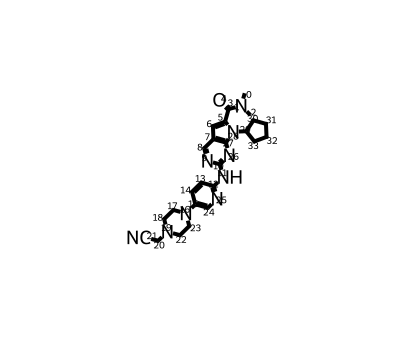 CN(C)C(=O)c1cc2cnc(Nc3ccc(N4CCN(CC#N)CC4)cn3)nc2n1C1CCCC1